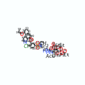 CCCO[C@H](COC(=O)CC)[C@@H](OC(=O)CC)[C@H](OC(=O)CC)[C@H](COC(C)=O)NC(=O)NCCCCN(C)S(=O)(=O)c1ccc(Cl)c(COC2(c3cnccc3-c3ccccc3OC3CC3)CC2)c1